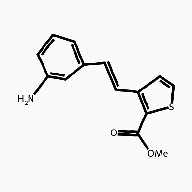 COC(=O)c1sccc1/C=C/c1cccc(N)c1